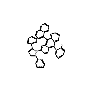 Cc1ccccc1-c1c2ccccc2c(-c2cccc3ccccc23)c2cc(-n3c(-c4ccccc4)ccc3-c3ccccc3)ccc12